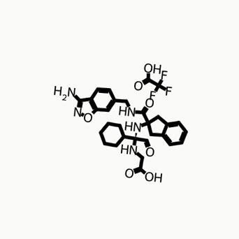 Nc1noc2cc(CNC(=O)C3(N[C@](C=O)(NCC(=O)O)C4CCCCC4)Cc4ccccc4C3)ccc12.O=C(O)C(F)(F)F